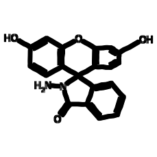 NN1C(=O)c2ccccc2C12c1ccc(O)cc1Oc1cc(O)ccc12